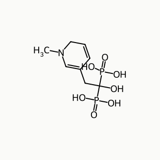 CN1C=C(CC(O)(P(=O)(O)O)P(=O)(O)O)C=CC1